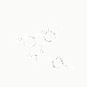 COCC1=C(C(=O)OC)C(c2ccc(F)c(F)c2)N(COc2ccc([N+](=O)[O-])cc2)C(=O)N1